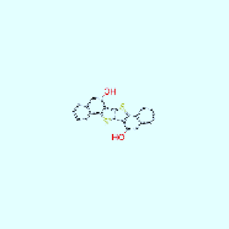 Oc1cc2ccccc2c2sc3c(sc4c5ccccc5cc(O)c43)c12